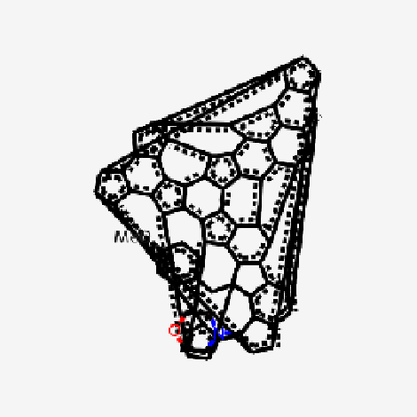 COc1ccc(CC23c4c5c6c7c8c9c%10c%11c(c2c2c%12c3c3c%13c4c6c4c6c%13c%13c3c3c%12c%12c%14c2c%11c2c%11c%10c%10c8c8c7c4c4c6c6c%13c7c3c%12c3c(c%142)c2c%11c%10c%10c8c4c4c%10c2c3c7c64)C59N2CCOCC2)cc1